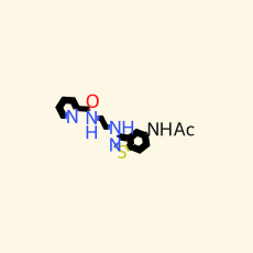 CC(=O)Nc1ccc2snc(NCCNC(=O)c3ccccn3)c2c1